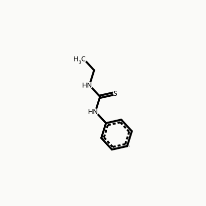 CCNC(=S)Nc1cc[c]cc1